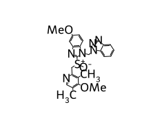 COc1ccc2c(c1)nc([S+]([O-])Cc1ncc(C)c(OC)c1C)n2Cn1nnc2ccccc21